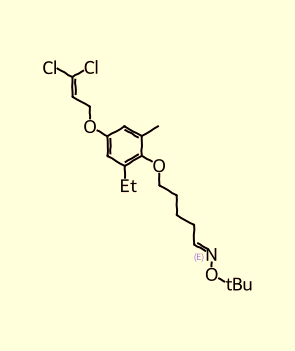 CCc1cc(OCC=C(Cl)Cl)cc(C)c1OCCCC/C=N/OC(C)(C)C